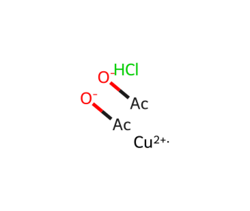 CC(=O)[O-].CC(=O)[O-].Cl.[Cu+2]